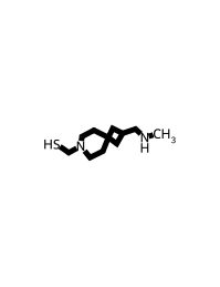 CNCC1CC2(CCN(CS)CC2)C1